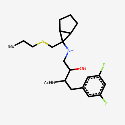 CC(=O)NC(Cc1cc(F)cc(F)c1)C(O)CNC1(CSCCC(C)(C)C)C2CCCC21